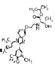 COC[C@H](C)n1c(-c2cc(C)c(=O)n(C)c2)nc2cc(OCCN[C@H](C(=O)OC(C)C)[C@H](C)O)ccc21